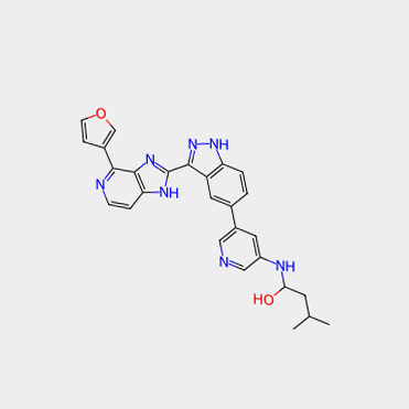 CC(C)CC(O)Nc1cncc(-c2ccc3[nH]nc(-c4nc5c(-c6ccoc6)nccc5[nH]4)c3c2)c1